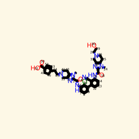 Cn1c(C(=O)Nc2cccc(-c3cccc(NC(=O)c4nc5c(n4C)CCN(CCO)C5)c3C#N)c2Cl)nc2c1CCN(CCC13CCC(C(=O)O)(CC1)C3)C2